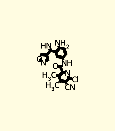 Cc1c(C(=O)Nc2ccc(N)c(C(=N)c3cnoc3)c2)nc(Cl)c(C#N)c1C